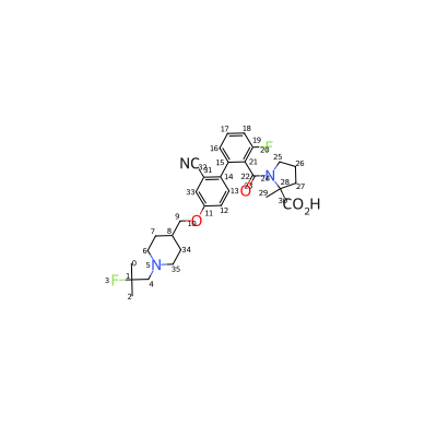 CC(C)(F)CN1CCC(COc2ccc(-c3cccc(F)c3C(=O)N3CCCC3(C)C(=O)O)c(C#N)c2)CC1